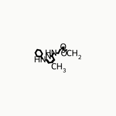 C=CS(=O)(=O)CCNc1cc(C)cc(NC2CCCCC2)n1